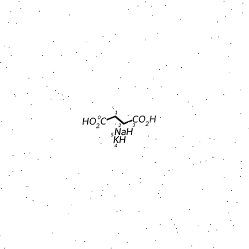 O=C(O)CCC(=O)O.[KH].[NaH]